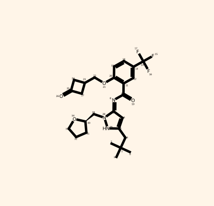 CC(C)(C)Cc1cc(=NC(=O)c2cc(C(F)(F)F)ccc2OCC2CC(=O)C2)n(C[C@H]2CCCO2)[nH]1